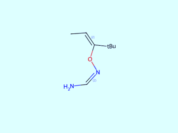 C/C=C(\O/N=C\N)C(C)(C)C